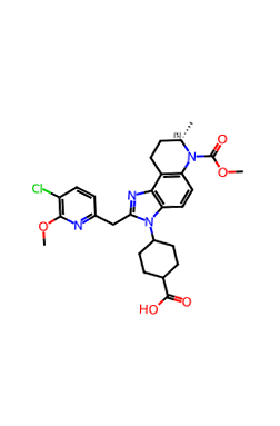 COC(=O)N1c2ccc3c(nc(Cc4ccc(Cl)c(OC)n4)n3C3CCC(C(=O)O)CC3)c2CC[C@@H]1C